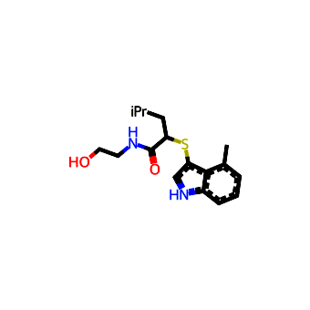 Cc1cccc2[nH]cc(SC(CC(C)C)C(=O)NCCO)c12